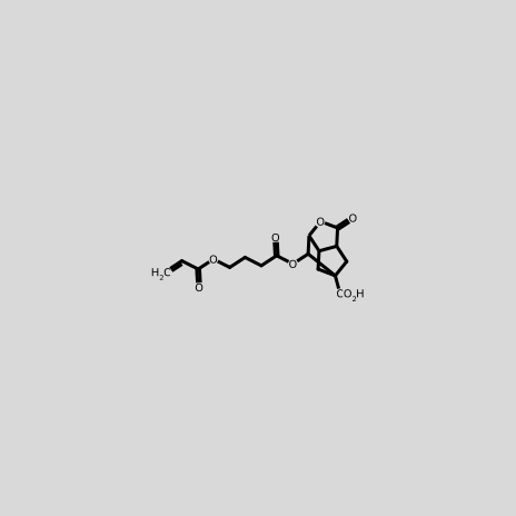 C=CC(=O)OCCCC(=O)OC1C2OC(=O)C3CC1(C(=O)O)CC32